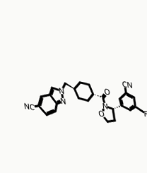 N#Cc1cc(F)cc([C@@H]2CCON2C(=O)[C@H]2CC[C@H](Cn3cc4cc(C#N)ccc4n3)CC2)c1